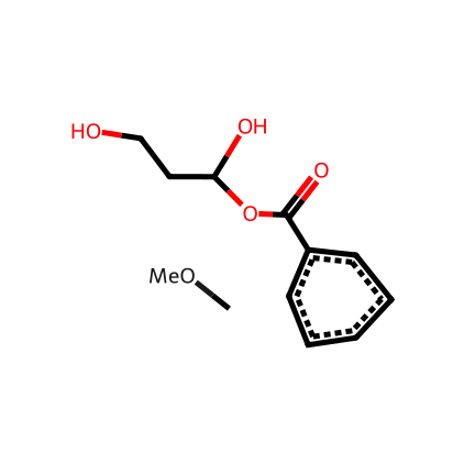 COC.O=C(OC(O)CCO)c1ccccc1